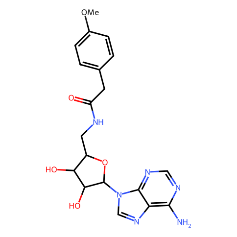 COc1ccc(CC(=O)NCC2OC(n3cnc4c(N)ncnc43)C(O)C2O)cc1